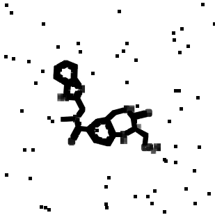 CN(Cc1nc2ccccc2[nH]1)C(=O)c1ccc2c(c1)CBC(=O)[C@@H](CC(=O)O)N2